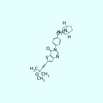 COC(C)(C)C#Cc1cc2ncn(-c3ccc(O[C@H]4C[C@H]5CC[C@@H](C4)N5C)cc3)c(=O)c2s1